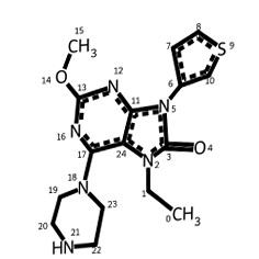 CCn1c(=O)n(-c2ccsc2)c2nc(OC)nc(N3CCNCC3)c21